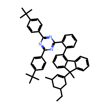 CCC1CC(C2(C)c3ccccc3-c3c(-c4ccccc4-c4nc(-c5ccc(C(C)(C)C)cc5)nc(-c5ccc(C(C)(C)C)cc5)n4)cccc32)=CC(C)C1